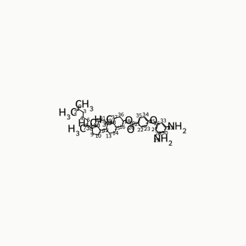 CC(C)CCCC(C)C1CCC2C3CCC4CC(OC(=O)c5ccc(Oc6cc(N)cc(N)c6)cc5)CCC4(C)C3CCC12C